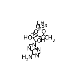 COP1(=S)OC(C)[C@H]2O[C@@H](n3cnc4c(N)ncnc43)[C@H](O)[C@@H]2O1